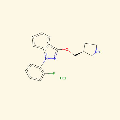 Cl.Fc1ccccc1-n1nc(OC[C@H]2CCNC2)c2ccccc21